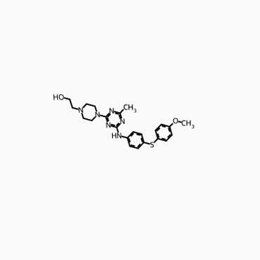 COc1ccc(Sc2ccc(Nc3nc(C)nc(N4CCN(CCO)CC4)n3)cc2)cc1